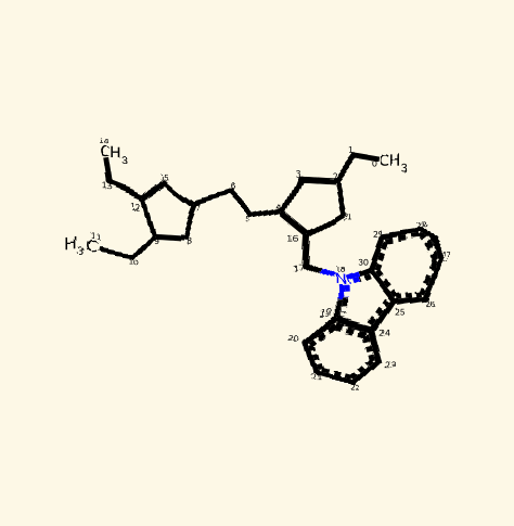 CCC1CC(CCC2CC(CC)C(CC)C2)C(Cn2c3ccccc3c3ccccc32)C1